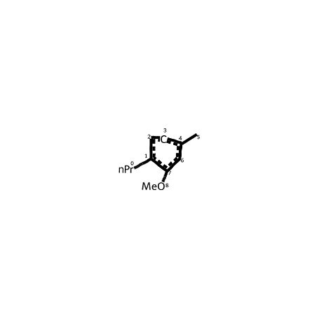 CCCc1ccc(C)cc1OC